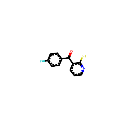 O=C(c1ccc(F)cc1)c1cccnc1S